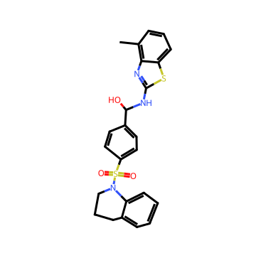 Cc1cccc2sc(NC(O)c3ccc(S(=O)(=O)N4CCCc5ccccc54)cc3)nc12